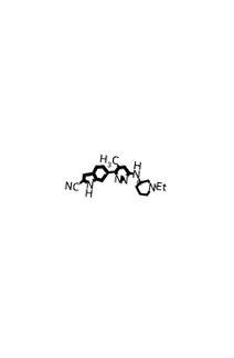 CCN1CCC[C@@H](Nc2cc(C)c(-c3ccc4cc(C#N)[nH]c4c3)nn2)C1